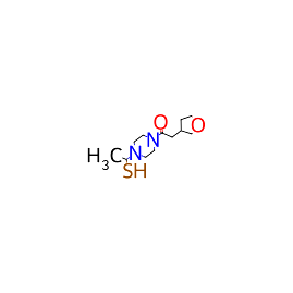 CC(S)N1CCN(C(=O)CC2CCOC2)CC1